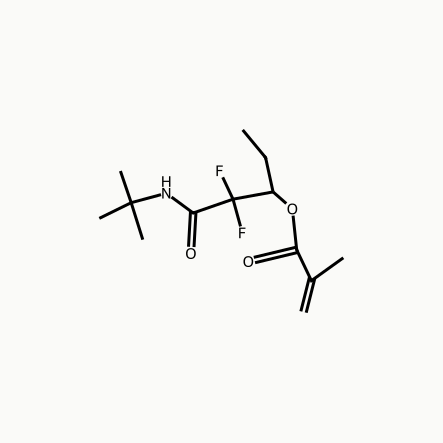 C=C(C)C(=O)OC(CC)C(F)(F)C(=O)NC(C)(C)C